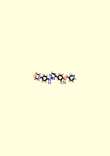 N#Cc1cc(-c2ccnc(Nc3ccc(N4CCOCC4)cc3)n2)ccc1OCc1cccnc1